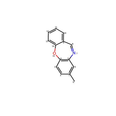 Cc1ccc2c(c1)N=Cc1ccccc1O2